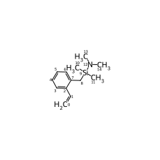 C=Cc1ccccc1C[Si](C)(C)N(C)C